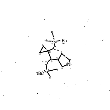 CC(C)(C)[Si](C)(C)OC(C1CCNC1)C1(O[Si](C)(C)C(C)(C)C)CC1